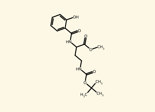 COC(=O)C(CCNC(=O)OC(C)(C)C)NC(=O)c1ccccc1O